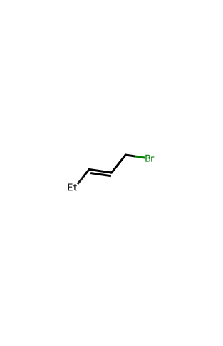 [CH2]CC=CCBr